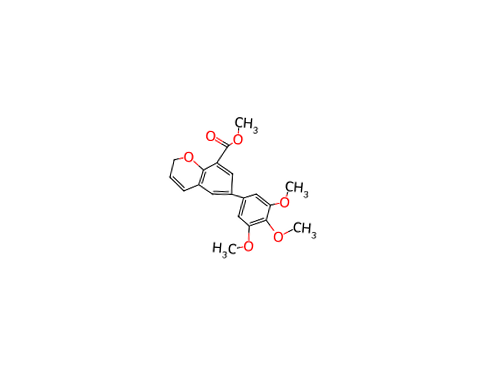 COC(=O)c1cc(-c2cc(OC)c(OC)c(OC)c2)cc2c1OCC=C2